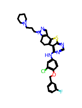 Fc1cccc(COc2ccc(Nc3ncnc4sc5c(c34)CCc3c-5cnn3CCCN3CCCCC3)cc2Cl)c1